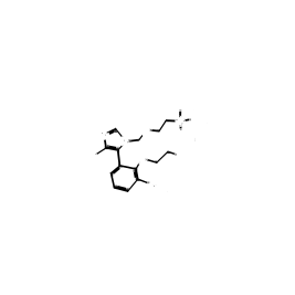 C[Si](C)(C)CCOCn1cnc(Br)c1-c1cccc([N+](=O)[O-])c1OCCCl